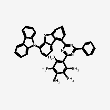 Bc1c(B)c(B)c(-c2nc(-c3ccccc3)nc(-c3cccc4sc5c(-n6c7ccccc7c7ccccc76)cccc5c34)n2)c(B)c1B